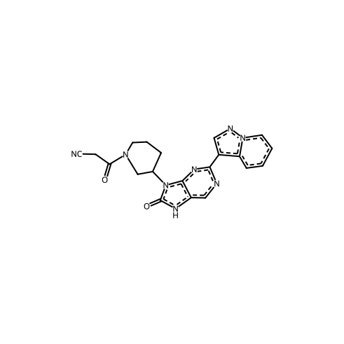 N#CCC(=O)N1CCCC(n2c(=O)[nH]c3cnc(-c4cnn5ccccc45)nc32)C1